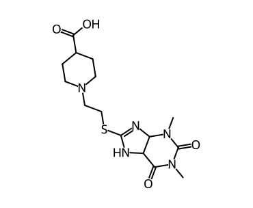 CN1C(=O)C2NC(SCCN3CCC(C(=O)O)CC3)=NC2N(C)C1=O